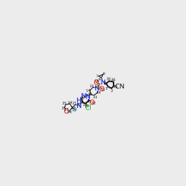 N#Cc1ccc(N(C2CC2)S(=O)(=O)N2CCC(n3ncc(NCC4(F)CCCOC4)c(Cl)c3=O)CC2)cc1